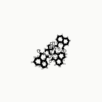 O=Cc1cccc2cccc(C(=O)NCC(CO)(CN3C(=O)c4cccc5cccc(c45)C3=O)CN3C(=O)c4cccc5cccc(c45)C3=O)c12